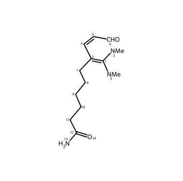 CNC(NC)=C(/C=C\C=O)CCCCCC(N)=O